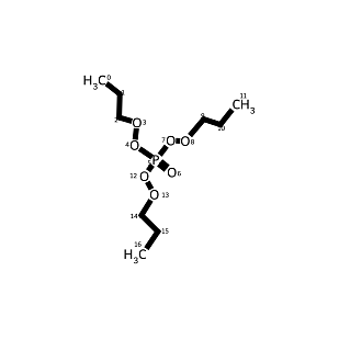 CCCOOP(=O)(OOCCC)OOCCC